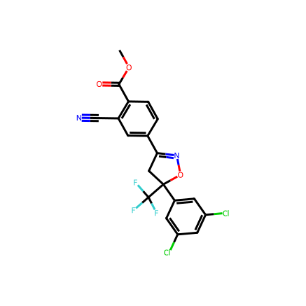 COC(=O)c1ccc(C2=NOC(c3cc(Cl)cc(Cl)c3)(C(F)(F)F)C2)cc1C#N